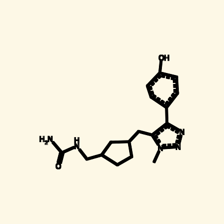 Cn1nnc(-c2ccc(O)cc2)c1CC1CCC(CNC(N)=O)C1